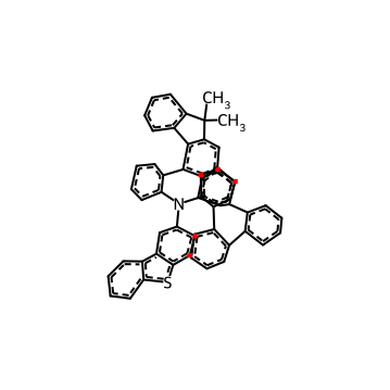 CC1(C)c2ccccc2-c2c(-c3ccccc3N(c3ccc4sc5ccccc5c4c3)c3ccccc3-c3ccccc3-c3ccccc3-c3ccccc3)cccc21